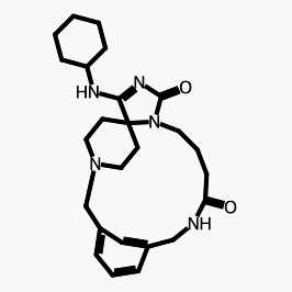 O=C1CCCN2C(=O)N=C(NC3CCCCC3)C23CCN(CC3)Cc2cccc(c2)CN1